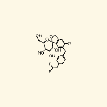 OC[C@H]1O[C@]2(OCc3cc(Cl)c(Cc4ccc(CC(F)F)cc4)cc32)[C@H](O)[C@@H](O)[C@@H]1O